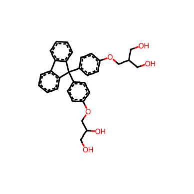 OCC(O)COc1ccc(C2(c3ccc(OCC(CO)CO)cc3)c3ccccc3-c3ccccc32)cc1